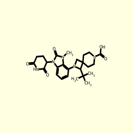 Cn1c(=O)n(C2CCC(=O)NC2=O)c2cccc(N3CC4(CCN(C(=O)O)CC4)C3C(C)(C)C)c21